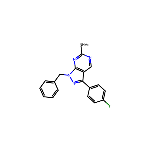 CC(=O)Nc1ncc2c(-c3ccc(F)cc3)nn(Cc3ccccc3)c2n1